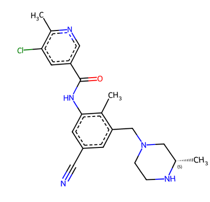 Cc1ncc(C(=O)Nc2cc(C#N)cc(CN3CCN[C@@H](C)C3)c2C)cc1Cl